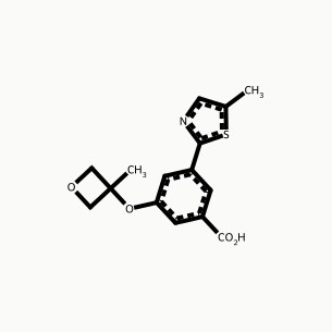 Cc1cnc(-c2cc(OC3(C)COC3)cc(C(=O)O)c2)s1